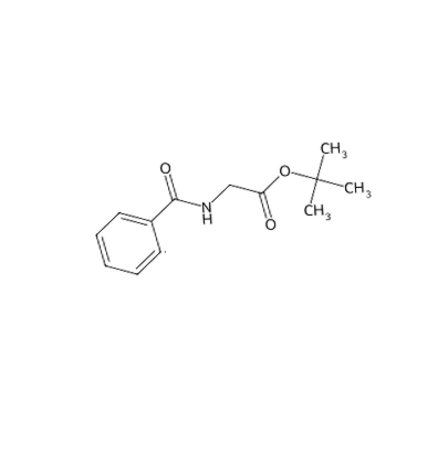 CC(C)(C)OC(=O)CNC(=O)c1[c]cccc1